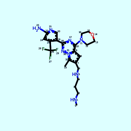 CNCCCNCc1cc2c(N3CCOCC3)nc(-c3cnc(N)cc3C(F)(F)F)nn2c1C